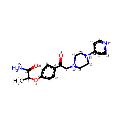 CC(Oc1ccc(C(=O)CN2CCN(c3ccncc3)CC2)cc1)C(N)=O